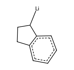 [Li][CH]1CCc2ccccc21